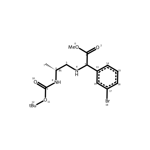 COC(=O)C(NC[C@@H](C)NC(=O)OC(C)(C)C)c1cccc(Br)c1